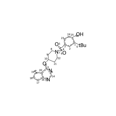 CC(C)(C)c1cc(S(=O)(=O)N2CCC(Oc3ncnc4ccsc34)CC2)ccc1O